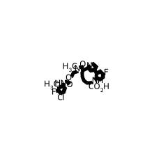 Cc1c(NC(=O)OCCCN(C)C(=O)C2CCCCC(C(=O)O)Nc3ccc(F)cc3-c3ccnc2c3)ccc(Cl)c1F